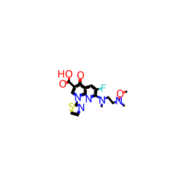 CON(C)CCN(C)c1nc2c(cc1F)c(=O)c(C(=O)O)cn2-c1nccs1